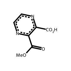 COC(=O)c1nccnc1C(=O)O